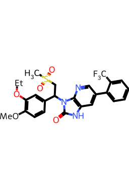 CCOc1cc(C(CS(C)(=O)=O)n2c(=O)[nH]c3cc(-c4ccccc4C(F)(F)F)cnc32)ccc1OC